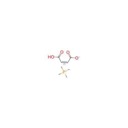 C[P+](C)(C)C.O=C([O-])/C=C\C(=O)O